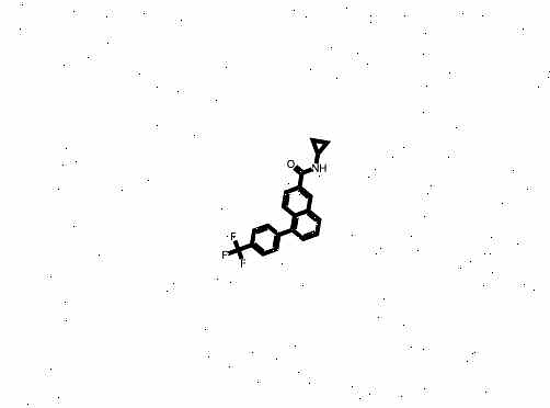 O=C(NC1CC1)c1ccc2c(-c3ccc(C(F)(F)F)cc3)cccc2c1